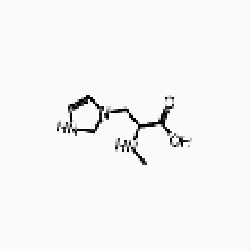 CNC(CN1C=CNC1)C(=O)O